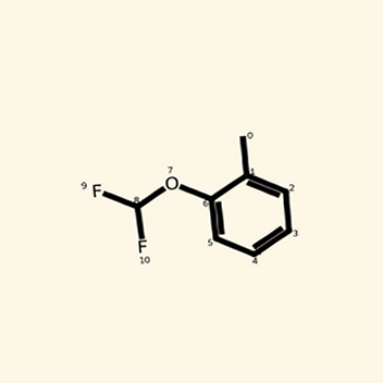 Cc1cc[c]cc1OC(F)F